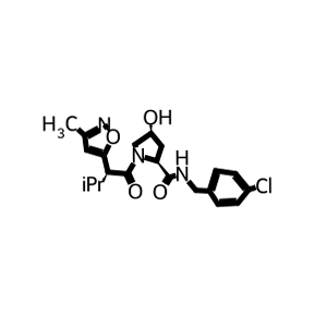 Cc1cc([C@H](C(=O)N2C[C@H](O)C[C@H]2C(=O)NCc2ccc(Cl)cc2)C(C)C)on1